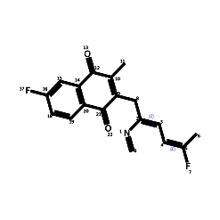 C=N/C(=C\C=C(/C)F)CC1=C(C)C(=O)c2cc(F)ccc2C1=O